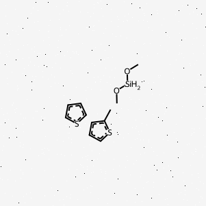 CO[SiH2]OC.Cc1cccs1.c1ccsc1